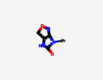 CC(C)n1c(=O)[nH]c2conc21